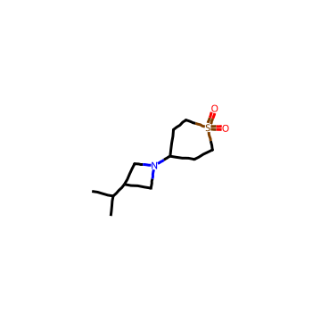 CC(C)C1CN(C2CCS(=O)(=O)CC2)C1